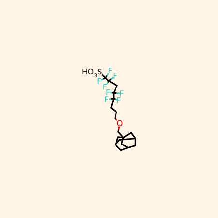 O=S(=O)(O)C(F)(F)C(F)(F)CC(F)(F)C(F)(F)CCCOCC12CC3CC(CC(C3)C1)C2